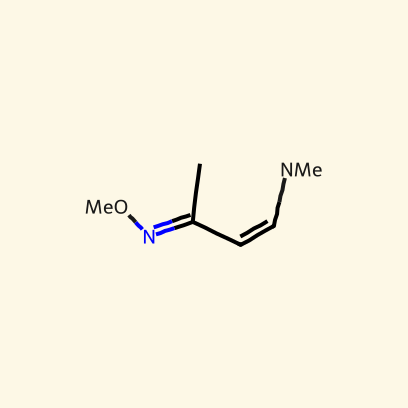 CN/C=C\C(C)=N\OC